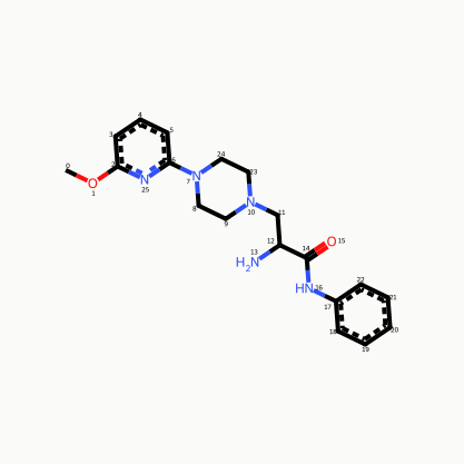 COc1cccc(N2CCN(CC(N)C(=O)Nc3ccccc3)CC2)n1